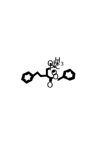 CP(=O)(O)CC(CCc1ccccc1)C(=O)OCc1ccccc1